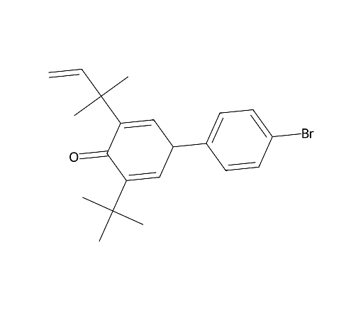 C=CC(C)(C)C1=CC(c2ccc(Br)cc2)C=C(C(C)(C)C)C1=O